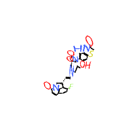 O=C1CSc2ccc(N3C[C@@H](CN(CCCO)CC[C@H]4Cn5c(=O)ccc6ccc(F)c4c65)OC3=O)cc2N1